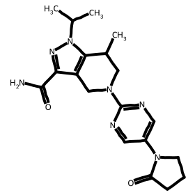 CC1CN(c2ncc(N3CCCC3=O)cn2)Cc2c(C(N)=O)nn(C(C)C)c21